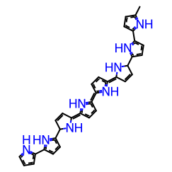 Cc1ccc(-c2ccc(C3C=C/C(=c4/cc/c(=c5/cc/c(=C6/C=CC(c7ccc(-c8ccc[nH]8)[nH]7)N6)[nH]5)[nH]4)N3)[nH]2)[nH]1